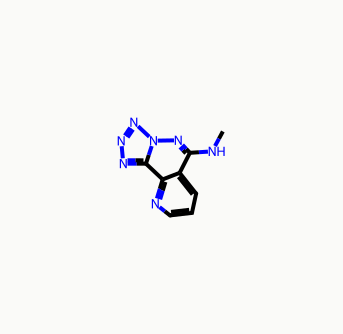 CNc1nn2nnnc2c2ncccc12